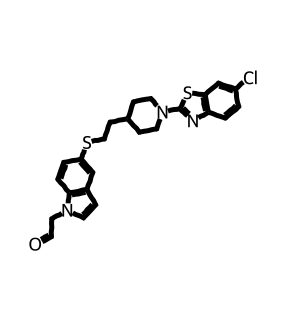 O=CCn1ccc2cc(SCCC3CCN(c4nc5ccc(Cl)cc5s4)CC3)ccc21